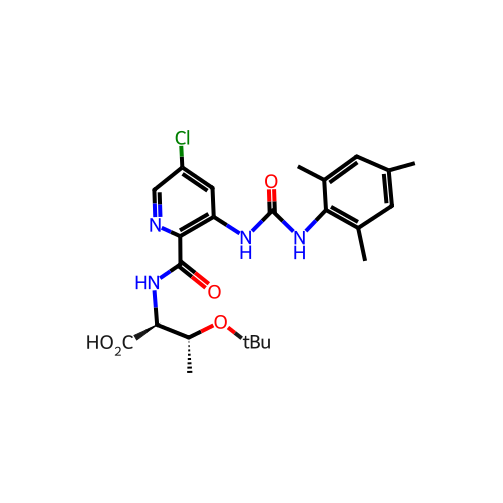 Cc1cc(C)c(NC(=O)Nc2cc(Cl)cnc2C(=O)N[C@H](C(=O)O)[C@@H](C)OC(C)(C)C)c(C)c1